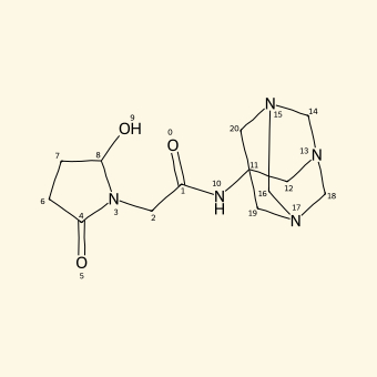 O=C(CN1C(=O)CCC1O)NC12CN3CN(CN(C3)C1)C2